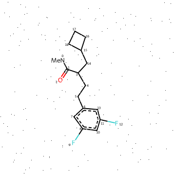 CNC(=O)C(CCc1cc(F)cc(F)c1)CC1CCC1